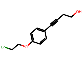 OCCC#Cc1ccc(OCCBr)cc1